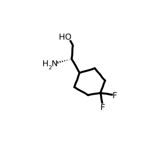 N[C@H](CO)C1CCC(F)(F)CC1